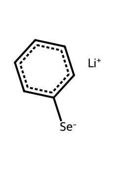 [Li+].[Se-]c1ccccc1